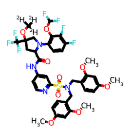 [2H]C([2H])([2H])OC1(C(F)(F)F)CC(C(=O)Nc2ccnc(S(=O)(=O)N(Cc3ccc(OC)cc3OC)Cc3ccc(OC)cc3OC)c2)N(c2ccc(F)c(F)c2OC(F)F)C1